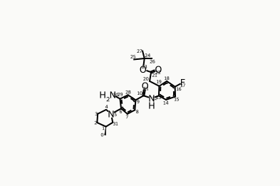 C[C@H]1CCCN(c2ccc(C(=O)Nc3ccc(F)cc3CC(=O)OC(C)(C)C)cc2N)C1